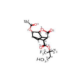 CC(C)(C)C(=O)OC1C2CC3C1OC(=O)C3C2C(=O)OC(CS(=O)(=O)O)(C(F)(F)F)C(F)(F)F